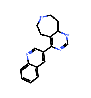 C1=NC(c2cnc3ccccc3c2)=C2CCNCCC2N1